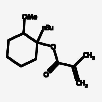 C=C(C)C(=O)OC1(CCCC)CCCCC1OC